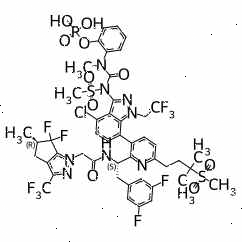 C[C@@H]1Cc2c(C(F)(F)F)nn(CC(=O)N[C@@H](Cc3cc(F)cc(F)c3)c3nc(CCC(C)(C)S(C)(=O)=O)ccc3-c3ccc(Cl)c4c(N(C(=O)N(C)c5ccccc5OP(=O)(O)O)S(C)(=O)=O)nn(CC(F)(F)F)c34)c2C1(F)F